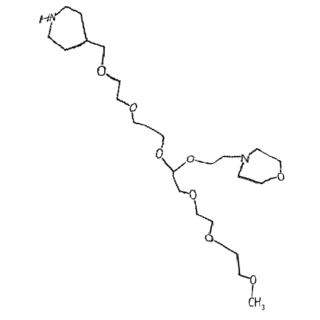 COCCOCCOCC(OCCOCCOCC1CCNCC1)OCCN1CCOCC1